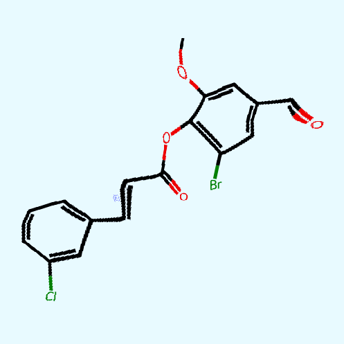 COc1cc(C=O)cc(Br)c1OC(=O)/C=C/c1cccc(Cl)c1